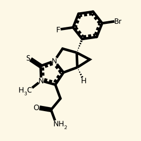 Cn1c(CC(N)=O)c2n(c1=S)C[C@@]1(c3cc(Br)ccc3F)C[C@@H]21